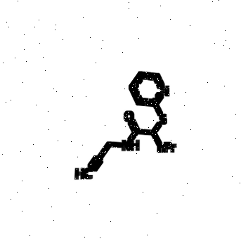 C#CCNC(=O)C(CCC)Sc1ccccn1